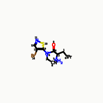 CC(C)CC(N)C(=O)N(CC#N)c1sncc1Br